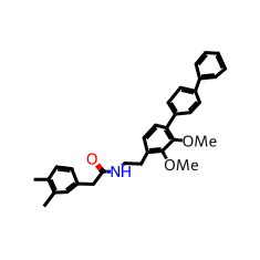 COc1c(CCNC(=O)Cc2ccc(C)c(C)c2)ccc(-c2ccc(-c3ccccc3)cc2)c1OC